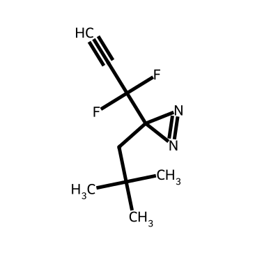 C#CC(F)(F)C1(CC(C)(C)C)N=N1